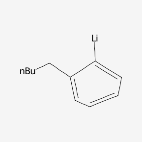 [Li][c]1ccccc1CCCCC